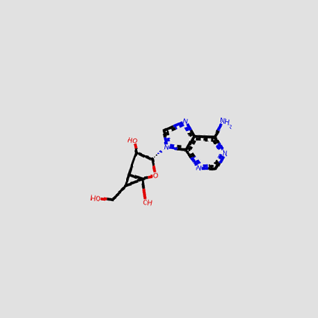 Nc1ncnc2c1ncn2[C@@H]1OC2(O)C(CO)C2C1O